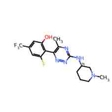 Cc1nc(N[C@@H]2CCCN(C)C2)nnc1-c1c(O)cc(C(F)(F)F)cc1F